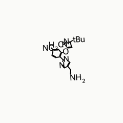 Cn1nc(C(C)(C)C)cc1Oc1cc(C#N)ccc1-c1ncc(CCN)cn1